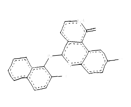 Cc1ccc2ccccc2c1Nc1nc2ccc(Br)cc2c2c(=O)[nH]ccc12